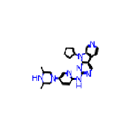 CC1CN(c2ccc(Nc3ncc4c5ccncc5n(C5CCCC5)c4n3)nc2)CC(C)N1